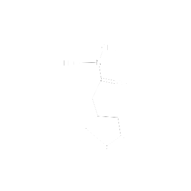 CN(C)C(=O)CC1=CCCC1